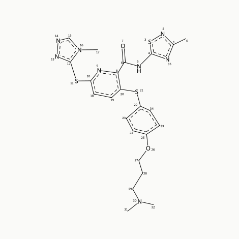 Cc1nsc(NC(=O)c2nc(Sc3nncn3C)ccc2Sc2ccc(OCCCN(C)C)cc2)n1